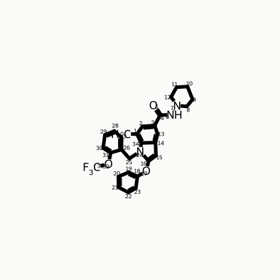 Cc1cc(C(=O)NN2CCCCC2)cc2cc(Oc3ccccc3)n(Cc3ccccc3OC(F)(F)F)c12